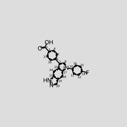 O=C(O)c1ccc(-c2cn(-c3ccc(F)cc3)c3cc4cn[nH]c4cc23)cc1